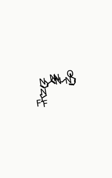 O=c1ccccn1CCn1cc(-c2cncc(N3CC(C(F)F)C3)c2)nn1